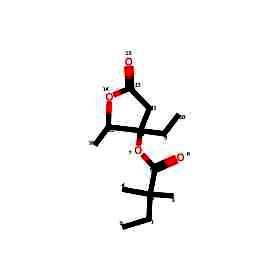 CCC(C)(C)C(=O)OC1(CC)CC(=O)OC1C